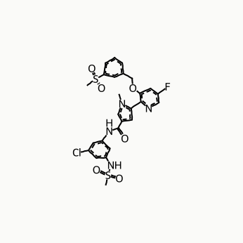 Cn1cc(C(=O)Nc2cc(Cl)cc(NS(C)(=O)=O)c2)cc1-c1ncc(F)cc1OCc1cccc(S(C)(=O)=O)c1